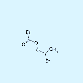 CCC(=O)OOC(C)CC